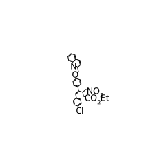 CCOC(=O)CC(C[N+](=O)[O-])C(=Cc1ccc(Cl)cc1)c1ccc(OCc2ccc3ccccc3n2)cc1